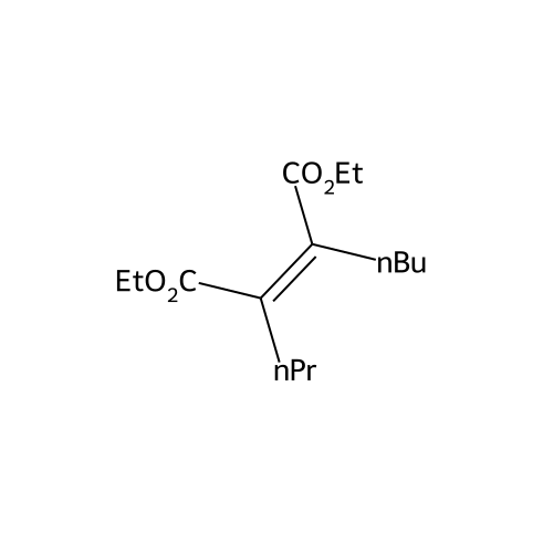 CCCC/C(C(=O)OCC)=C(\CCC)C(=O)OCC